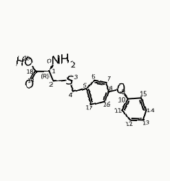 N[C@@H](CSCc1ccc(Oc2ccccc2)cc1)C(=O)O